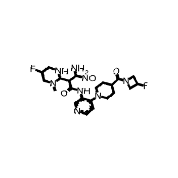 CN1CC(F)CNC1C(C(=O)Nc1cnccc1N1CCC(C(=O)N2CC(F)C2)CC1)C(N)N=O